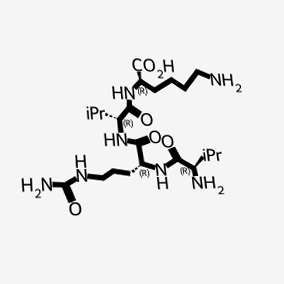 CC(C)[C@@H](N)C(=O)N[C@H](CCCNC(N)=O)C(=O)N[C@@H](C(=O)N[C@H](CCCCN)C(=O)O)C(C)C